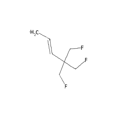 [CH2]C=CC(CF)(CF)CF